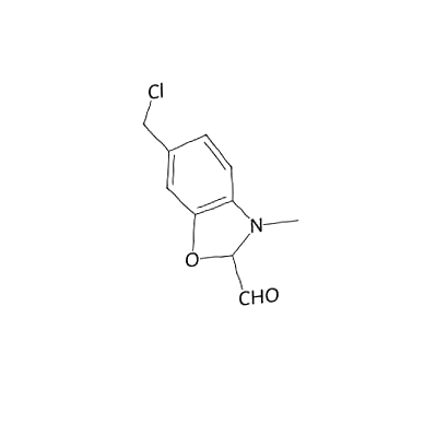 CN1c2ccc(CCl)cc2OC1C=O